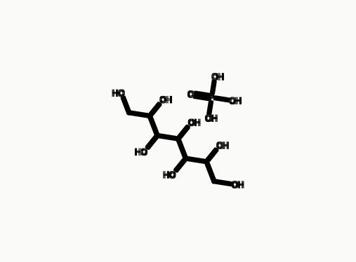 O=P(O)(O)O.OCC(O)C(O)C(O)C(O)C(O)CO